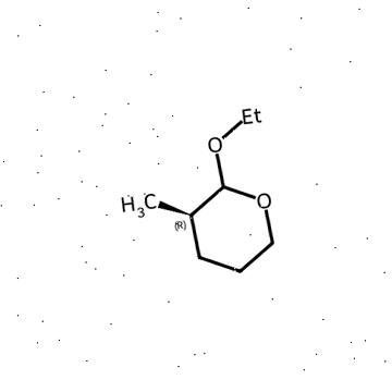 CCOC1OCCC[C@H]1C